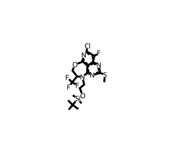 CSc1nc2c3c(nc(Cl)c(F)c3n1)OCC(C(F)(F)F)N2CCO[Si](C)(C)C(C)(C)C